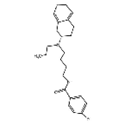 CCCN(CCCCNC(=O)c1ccc(Br)cc1)[C@H]1CCC2=CCCC=C2C1